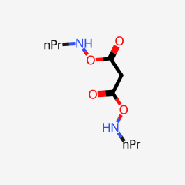 CCCNOC(=O)CC(=O)ONCCC